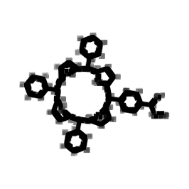 CNC(=O)c1ccc(-c2c3nc(c(-c4ccccc4)c4ccc([nH]4)c(-c4ccccc4)c4nc(c(-c5ccccc5)c5[nH]c2CC5)C=C4)C=C3)cc1